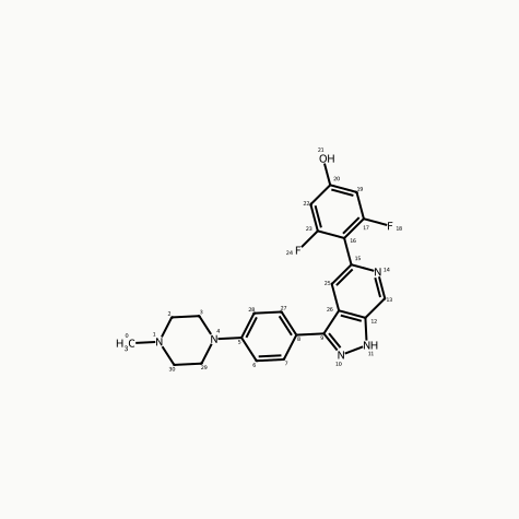 CN1CCN(c2ccc(-c3n[nH]c4cnc(-c5c(F)cc(O)cc5F)cc34)cc2)CC1